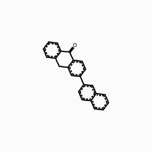 O=C1c2ccccc2Cc2cc(-c3ccc4ccccc4c3)ccc21